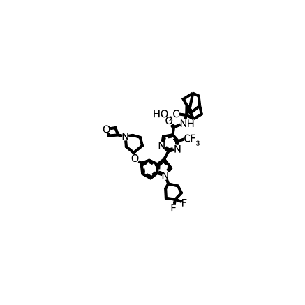 O=C(NC1(C(=O)O)C2CC3CC(C2)CC1C3)c1cnc(-c2cn(C3CCC(F)(F)CC3)c3ccc(OC4CCCN(C5COC5)C4)cc23)nc1C(F)(F)F